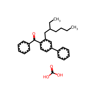 CCCCC(CC)Cc1cc(-c2ccccc2)ccc1C(=O)c1ccccc1.O=C(O)O